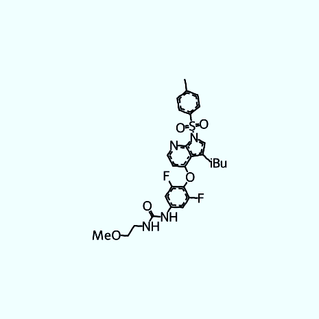 CCC(C)c1cn(S(=O)(=O)c2ccc(C)cc2)c2nccc(Oc3c(F)cc(NC(=O)NCCOC)cc3F)c12